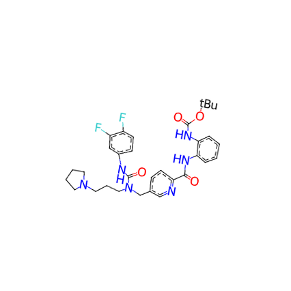 CC(C)(C)OC(=O)Nc1ccccc1NC(=O)c1ccc(CN(CCCN2CCCC2)C(=O)Nc2ccc(F)c(F)c2)cn1